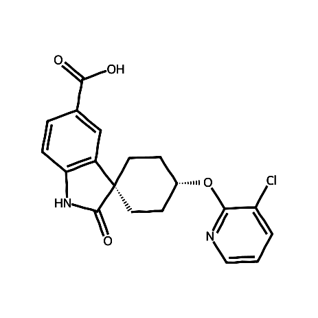 O=C(O)c1ccc2c(c1)[C@]1(CC[C@@H](Oc3ncccc3Cl)CC1)C(=O)N2